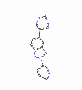 Clc1ncc(-c2ccc3nn(-c4cccnc4)cc3c2)cn1